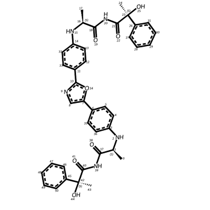 C[C@H](Nc1ccc(-c2cnc(-c3ccc(N[C@@H](C)C(=O)NC(=O)[C@@](C)(O)c4ccccc4)cc3)o2)cc1)C(=O)NC(=O)[C@@](C)(O)c1ccccc1